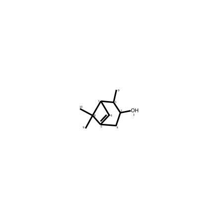 CC1C(O)CC2=CC1C2(C)C